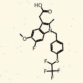 COc1cc2c(CC(=O)O)c(C)n(Cc3ccc(SC(F)C(F)(F)F)cc3)c2cc1F